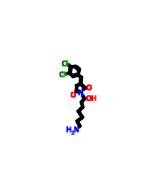 NCCCCCCC(O)N1C(=O)C/C(=C\c2ccc(Cl)c(Cl)c2)C1=O